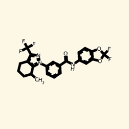 CC1CCCc2c(C(F)(F)F)nn(-c3cccc(C(=O)Nc4ccc5c(c4)OC(F)(F)O5)c3)c21